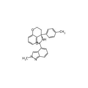 Cc1ccc([C@@]2(NC(=O)c3cccc4nn(C)cc34)CCOc3cccnc32)cc1